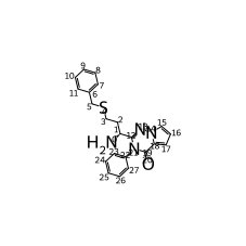 N[C@@H](CCSCc1ccccc1)c1nn2cccc2c(=O)n1-c1ccccc1